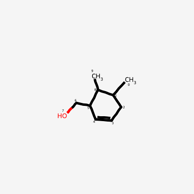 CC1CC=CC(CO)C1C